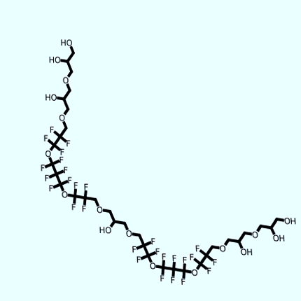 OCC(O)COCC(O)COCC(F)(F)C(F)(F)OC(F)(F)C(F)(F)C(F)(F)OC(F)(F)C(F)(F)COCC(O)COCC(F)(F)C(F)(F)OC(F)(F)C(F)(F)C(F)(F)OC(F)(F)C(F)(F)COCC(O)COCC(O)CO